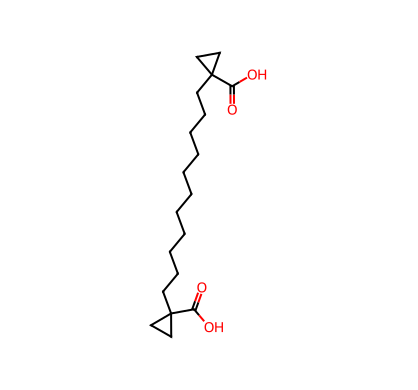 O=C(O)C1(CCCCCCCCCCCC2(C(=O)O)CC2)CC1